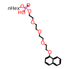 CCCCCCOP(=O)(O)OCCOCCOCCOCCOc1cccc2ccccc12